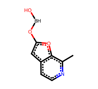 Cc1nccc2cc(OBO)oc12